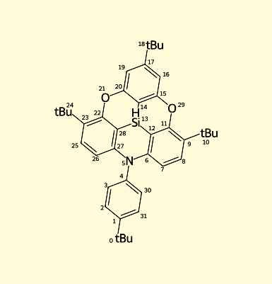 CC(C)(C)c1ccc(N2c3ccc(C(C)(C)C)c4c3[SiH]3c5c(cc(C(C)(C)C)cc5Oc5c(C(C)(C)C)ccc2c53)O4)cc1